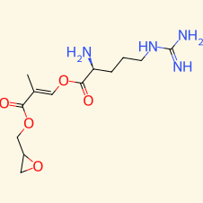 CC(=COC(=O)[C@@H](N)CCCNC(=N)N)C(=O)OCC1CO1